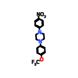 O=[N+]([O-])c1ccc(N2CCN(c3ccc(OC(F)(F)F)cc3)CC2)cc1